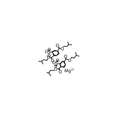 CC(C)CCOC(=O)c1ccc(C(=O)OCCC(C)C)c(S(=O)(=O)[O-])c1.CC(C)CCOC(=O)c1ccc(C(=O)OCCC(C)C)c(S(=O)(=O)[O-])c1.[Mg+2]